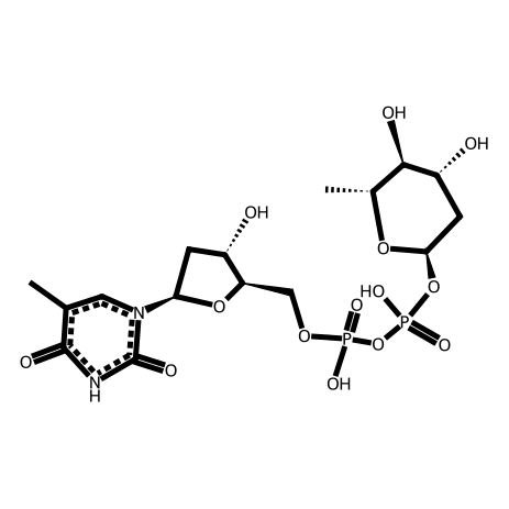 Cc1cn([C@H]2C[C@H](O)[C@@H](COP(=O)(O)OP(=O)(O)O[C@@H]3C[C@@H](O)[C@H](O)[C@@H](C)O3)O2)c(=O)[nH]c1=O